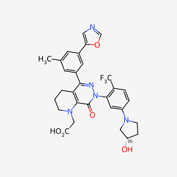 Cc1cc(-c2cnco2)cc(-c2nn(-c3cc(N4CC[C@H](O)C4)ccc3C(F)(F)F)c(=O)c3c2CCCN3CC(=O)O)c1